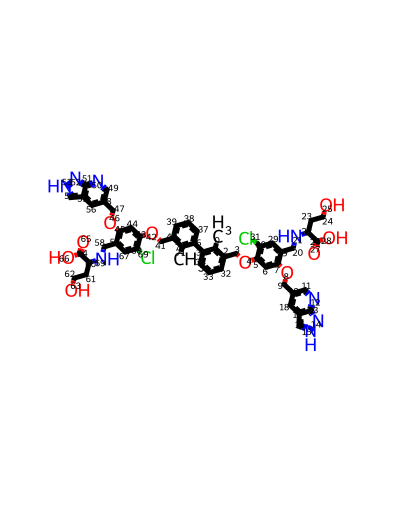 Cc1c(COc2cc(OCc3cnc4n[nH]cc4c3)c(CNC(CCO)C(=O)O)cc2Cl)cccc1-c1cccc(COc2cc(OCc3cnc4n[nH]cc4c3)c(CNC(CCO)C(=O)O)cc2Cl)c1C